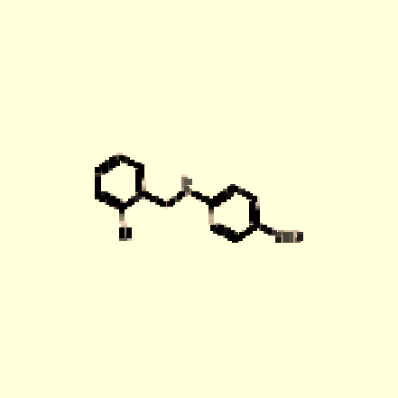 CCc1ccccc1CNc1ccc(C=O)cc1